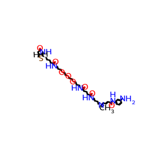 CN(C/C=C/C(=O)Nc1cccc(N)c1)CCCCNC(=O)CCCC(=O)NCCCOCCOCCOCCCNC(=O)CCCC[C@@H]1SC[C@@H]2CC(=O)N[C@@H]21